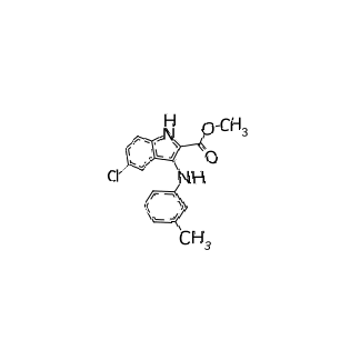 COC(=O)c1[nH]c2ccc(Cl)cc2c1Nc1cccc(C)c1